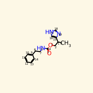 CC(COC(=O)NCCc1ccccc1)c1c[nH]cn1